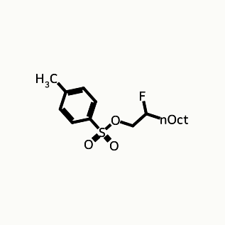 CCCCCCCCC(F)COS(=O)(=O)c1ccc(C)cc1